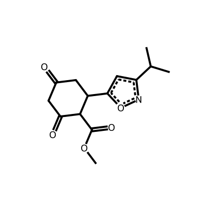 COC(=O)C1C(=O)CC(=O)CC1c1cc(C(C)C)no1